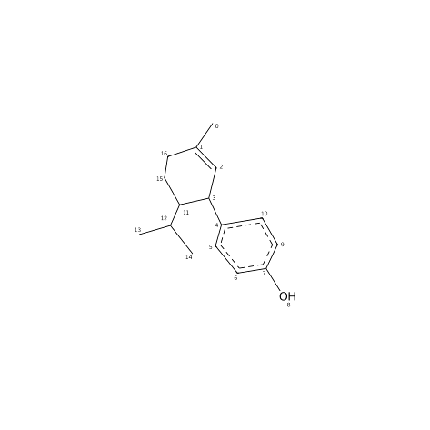 CC1=CC(c2ccc(O)cc2)C(C(C)C)CC1